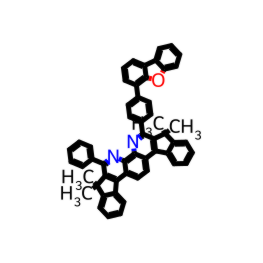 CC1(C)c2ccccc2-c2c1c(-c1ccccc1)nc1c2ccc2c3c(c(-c4ccc(-c5cccc6c5oc5ccccc56)cc4)nc21)C(C)(C)c1ccccc1-3